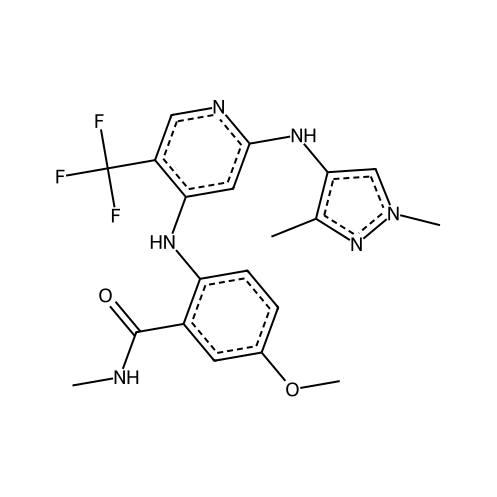 CNC(=O)c1cc(OC)ccc1Nc1cc(Nc2cn(C)nc2C)ncc1C(F)(F)F